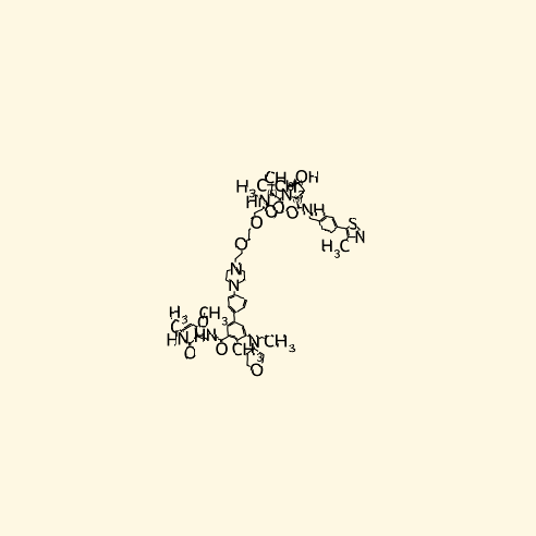 CCN(c1cc(-c2ccc(N3CCN(CCOCCOCC(=O)N[C@H](C(=O)N4C[C@H](O)C[C@H]4C(=O)NCc4ccc(-c5scnc5C)cc4)C(C)(C)C)CC3)cc2)cc(C(=O)NCc2c(OC)cc(C)[nH]c2=O)c1C)C1CCOCC1